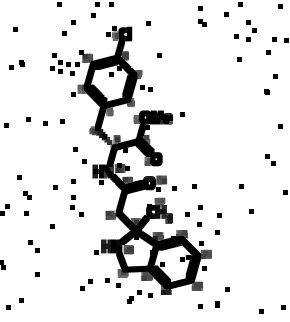 COC(=O)[C@@H](Cc1ccc(Cl)cc1)NC(=O)CC1(C)NCc2ccccc21